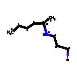 CCCC[C@@H](C)NCCCI